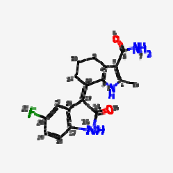 Cc1[nH]c2c(c1C(N)=O)CCC/C2=C1/C(=O)Nc2ccc(F)cc21